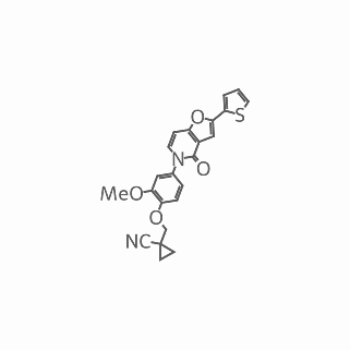 COc1cc(-n2ccc3oc(-c4cccs4)cc3c2=O)ccc1OCC1(C#N)CC1